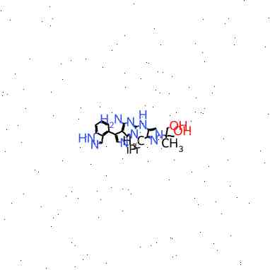 Cc1nn(C(C)(CO)CO)cc1Nc1nc(N)c2c(-c3cccc4[nH]ncc34)cn(C(C)C)c2n1